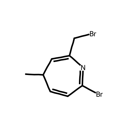 CC1C=CC(Br)=NC(CBr)=C1